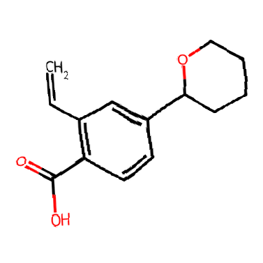 C=Cc1cc(C2CCCCO2)ccc1C(=O)O